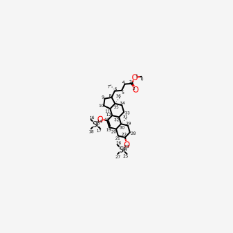 COC(=O)CC[C@@H](C)C1CCC2C3C(O[Si](C)(C)C)=CC4CC(O[Si](C)(C)C)CC[C@]4(C)C3CC[C@@]21C